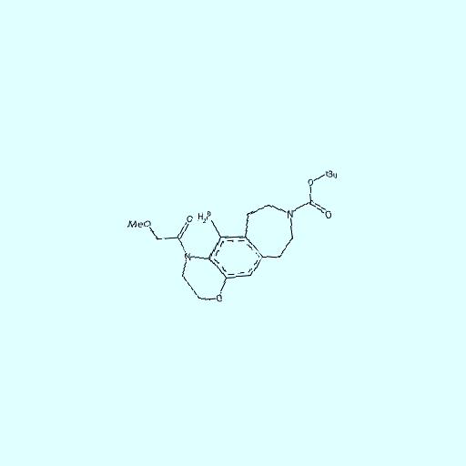 COCC(=O)N1CCOc2cc3c(c(P)c21)CCN(C(=O)OC(C)(C)C)CC3